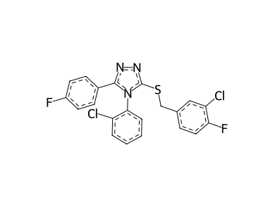 Fc1ccc(-c2nnc(SCc3ccc(F)c(Cl)c3)n2-c2ccccc2Cl)cc1